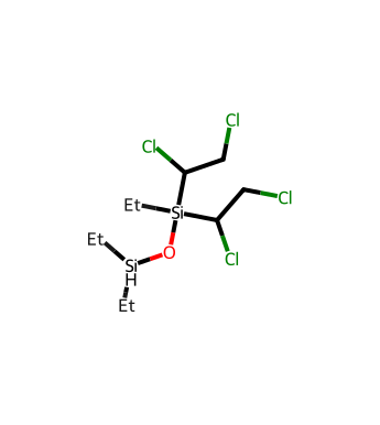 CC[SiH](CC)O[Si](CC)(C(Cl)CCl)C(Cl)CCl